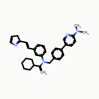 C=C(C1CCCCC1)N(Cc1ccc(-c2ccc(N(C)C)nc2)cc1)c1cccc(/C=C/C2=NC=CC2)c1